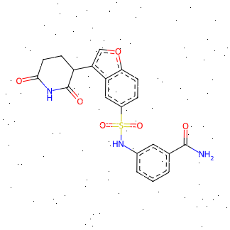 NC(=O)c1cccc(NS(=O)(=O)c2ccc3occ(C4CCC(=O)NC4=O)c3c2)c1